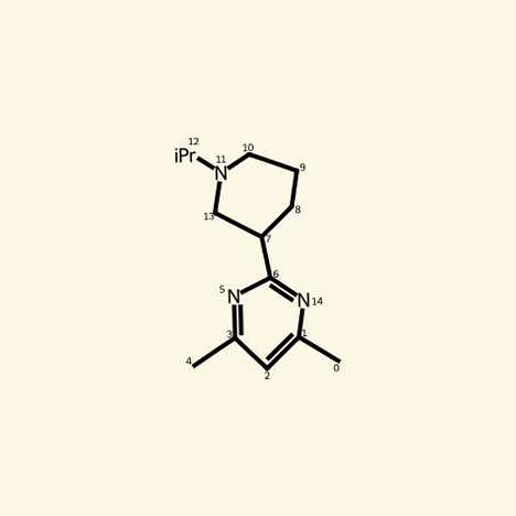 Cc1cc(C)nc(C2CCCN(C(C)C)C2)n1